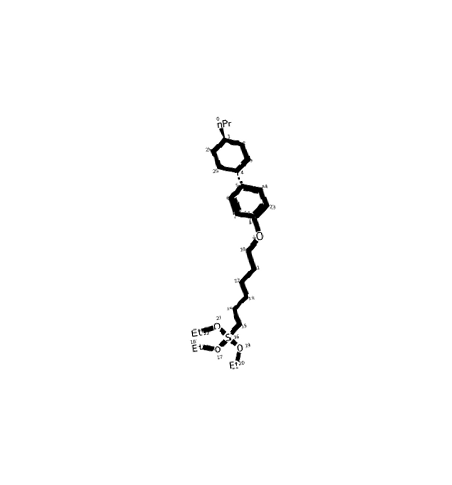 CCC[C@H]1CC[C@H](c2ccc(OCCCCCC[Si](OCC)(OCC)OCC)cc2)CC1